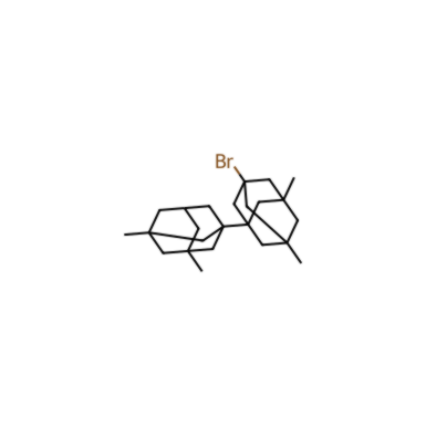 CC12CC3CC(C)(C1)CC(C14CC5(C)CC(C)(CC(Br)(C5)C1)C4)(C3)C2